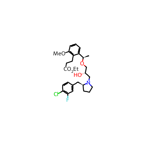 CCOC(=O)CCc1c(OC)cccc1[C@@H](C)OC[C@@H](O)CN1CCC[C@H]1Cc1ccc(Cl)c(F)c1